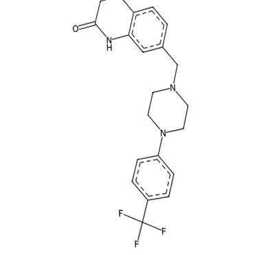 O=C1COc2ccc(CN3CCN(c4ccc(C(F)(F)F)cc4)CC3)cc2N1